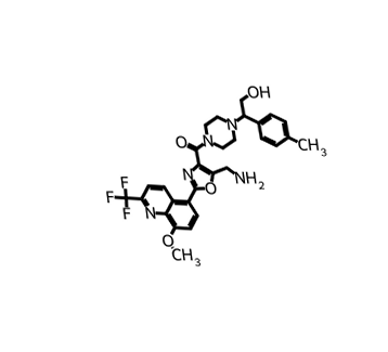 COc1ccc(-c2nc(C(=O)N3CCN(C(CO)c4ccc(C)cc4)CC3)c(CN)o2)c2ccc(C(F)(F)F)nc12